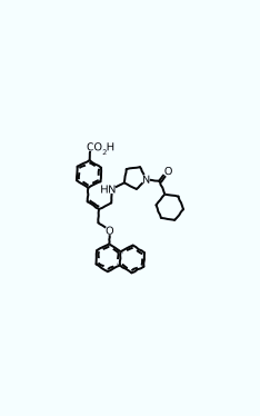 O=C(O)c1ccc(C=C(CNC2CCN(C(=O)C3CCCCC3)C2)COc2cccc3ccccc23)cc1